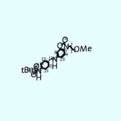 COCCn1c(=O)oc2cc(NC[C@H]3CC[C@H](NS(=O)(=O)C(C)(C)C)CC3)ccc21